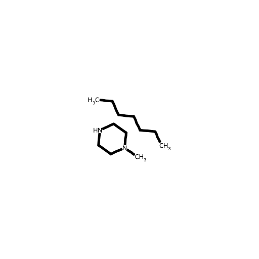 CCCCCCC.CN1CCNCC1